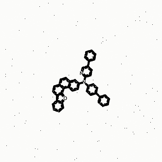 c1ccc(-c2ccc(N(c3ccc4c(ccc5ccc6c7ccccc7oc6c54)c3)c3ccc(-c4ccccc4)cn3)cc2)cc1